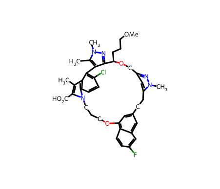 COCCCC1OCc2cc(n(C)n2)CCc2cc(c3ccc(F)cc3c2)OCCCn2c(C(=O)O)c(C)c3c(c(Cl)ccc32)-c2c1nn(C)c2C